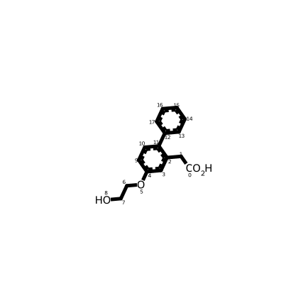 O=C(O)Cc1cc(OCCO)ccc1-c1ccccc1